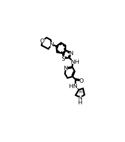 O=C(N[C@@H]1CCNC1)C1=CC(Nc2nc3ccc(N4CCOCC4)cc3s2)=NCC1